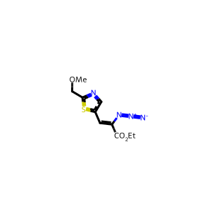 CCOC(=O)/C(=C/c1cnc(COC)s1)N=[N+]=[N-]